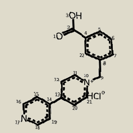 Cl.O=C(O)c1cccc(C[n+]2ccc(-c3ccncc3)cc2)c1